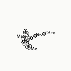 C=C(C)C(=O)OCCCc1cc(-c2ccc(OCCCc3ccc(CCCCCC)cc3)cc2)ccc1OCC(COC(=O)C(=C)C)(COC(=O)C(=O)OC)COC(=O)C(=O)OC